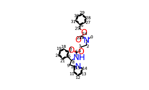 CN(CCOC(=O)NC(Cc1ccccn1)c1ccccc1)C(=O)OCc1ccccc1